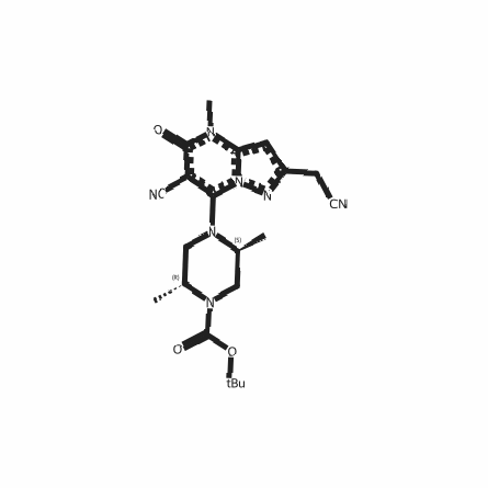 C[C@@H]1CN(c2c(C#N)c(=O)n(C)c3cc(CC#N)nn23)[C@@H](C)CN1C(=O)OC(C)(C)C